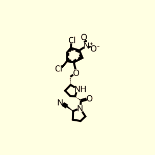 N#C[C@@H]1CCCN1C(=O)[C@@H]1CC[C@H](COc2cc([N+](=O)[O-])c(Cl)cc2Cl)N1